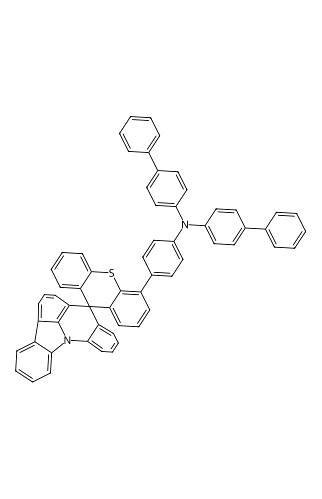 c1ccc(-c2ccc(N(c3ccc(-c4ccccc4)cc3)c3ccc(-c4cccc5c4Sc4ccccc4C54c5ccccc5-n5c6ccccc6c6cccc4c65)cc3)cc2)cc1